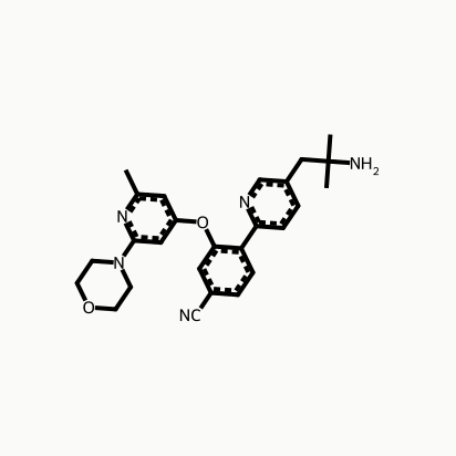 Cc1cc(Oc2cc(C#N)ccc2-c2ccc(CC(C)(C)N)cn2)cc(N2CCOCC2)n1